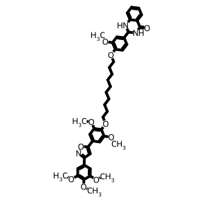 COc1cc(C2NC(=O)c3ccccc3N2)ccc1OCCCCCCCCCCOc1c(OC)cc(-c2cc(-c3cc(OC)c(OC)c(OC)c3)no2)cc1OC